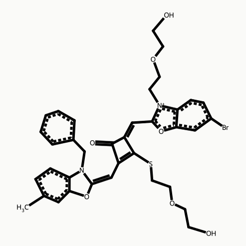 Cc1ccc2c(c1)O/C(=C/C1=C(SCCOCCO)C(=C\c3oc4cc(Br)ccc4[n+]3CCOCCO)/C1=O)N2Cc1ccccc1